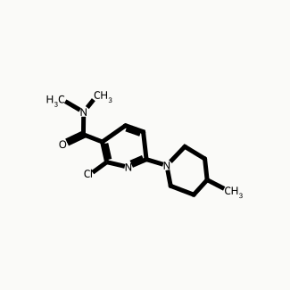 CC1CCN(c2ccc(C(=O)N(C)C)c(Cl)n2)CC1